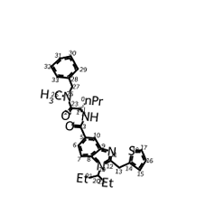 CCC[C@H](NC(=O)c1ccc2c(c1)nc(Cc1cccs1)n2C(CC)CC)C(=O)N(C)Cc1ccccc1